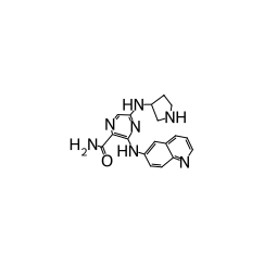 NC(=O)c1ncc(NC2CCNC2)nc1Nc1ccc2ncccc2c1